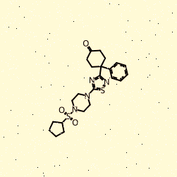 O=C1CCC(c2ccccc2)(c2nsc(N3CCN(S(=O)(=O)C4CCCC4)CC3)n2)CC1